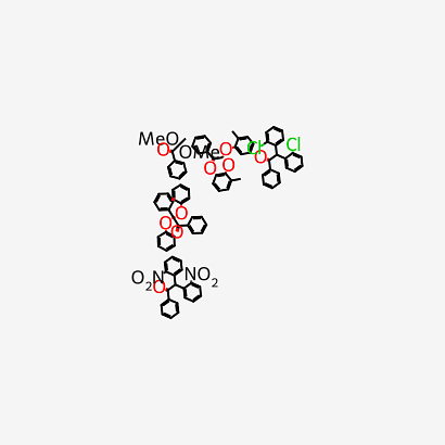 COC(C)(OC)C(=O)c1ccccc1.Cc1ccccc1OC(Oc1ccccc1C)C(=O)c1ccccc1.O=C(c1ccccc1)C(Oc1ccccc1)(Oc1ccccc1)c1ccccc1.O=C(c1ccccc1)C(c1ccccc1Cl)c1ccccc1Cl.O=C(c1ccccc1)C(c1ccccc1[N+](=O)[O-])c1ccccc1[N+](=O)[O-]